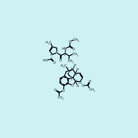 CC(=O)Oc1ccc2c3c1O[C@H]1[C@@H](OC(C)=O)C=C[C@H]4[C@@H](C2)N(C)CC[C@@]341.COC(=O)N[C@H](C(=O)N1CC(C)=C[C@H]1C(=O)O)C(C)C